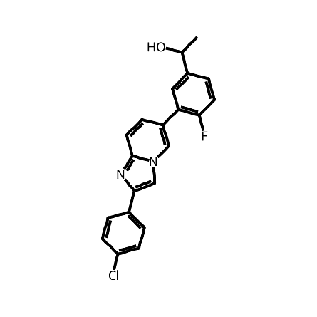 CC(O)c1ccc(F)c(-c2ccc3nc(-c4ccc(Cl)cc4)cn3c2)c1